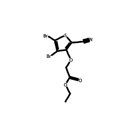 CCOC(=O)COc1c(C#N)sc(Br)c1Br